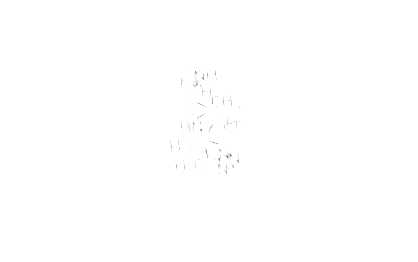 Cc1c(-c2[nH]c3sc(C4CC5CN[C@H]4C5)c(C)c3c2C(C)C)cn2ncnc2c1C